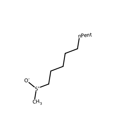 CCCCCCCCCC[S+](C)[O-]